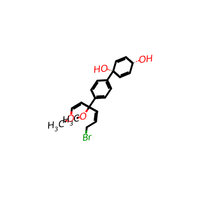 CO/C=C\C(/C=C\CBr)(OC)c1ccc([C@]2(O)C=C[C@@H](O)C=C2)cc1